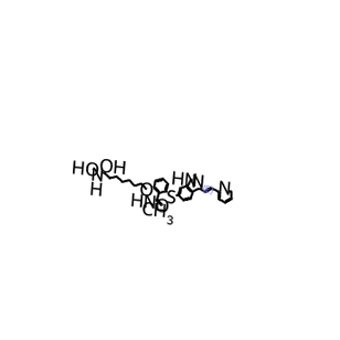 CNC(=O)c1c(OCCCCCCC(O)NO)cccc1Sc1ccc2c(/C=C/c3ccccn3)n[nH]c2c1